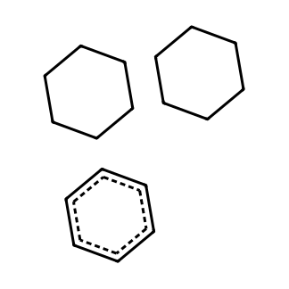 C1CCCCC1.C1CCCCC1.c1ccccc1